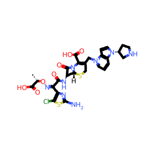 C[C@H](O/N=C(\C(=O)N[C@@H]1C(=O)N2C(C(=O)O)=C(C[n+]3cccc4c3ccn4[C@@H]3CCNC3)CS[C@H]12)c1nc(N)sc1Cl)C(=O)O